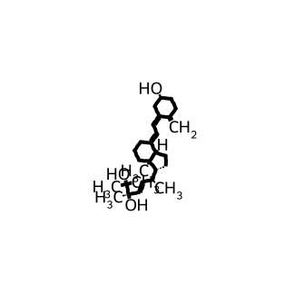 C=C1CC[C@H](O)C/C1=C/C=C1\CCC[C@]2(C)[C@@H]([C@H](C)/C=C/[C@@](C)(O)C(C)(C)O)CC[C@@H]12